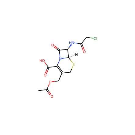 CC(=O)OCC1=C(C(=O)O)N2C(=O)[C@@H](NC(=O)CCl)[C@H]2SC1